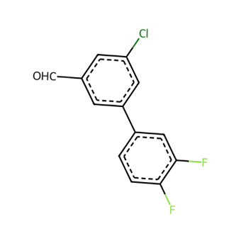 O=Cc1cc(Cl)cc(-c2ccc(F)c(F)c2)c1